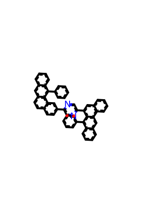 c1ccc(-c2c3ccccc3cc3c2c(-c2cnc(-c4ccc5ccc6cc7ccccc7c(-c7ccccc7)c6c5c4)cn2)cc2ccccc23)cc1